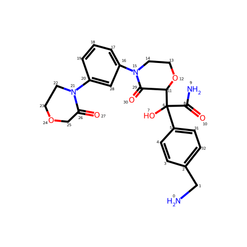 NCc1ccc(C(O)(C(N)=O)C2OCCN(c3cccc(N4CCOCC4=O)c3)C2=O)cc1